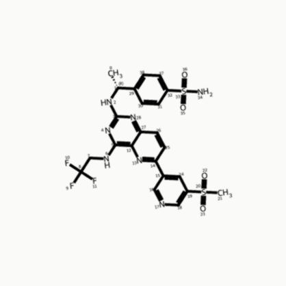 C[C@@H](Nc1nc(NCC(F)(F)F)c2nc(-c3cncc(S(C)(=O)=O)c3)ccc2n1)c1ccc(S(N)(=O)=O)cc1